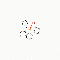 O=P(c1ccccc1)(c1ccccc1)[C@@H](C1CCCCC1)[C@@H]1CCC[C@@H]1O